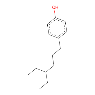 CCC(CC)CCCc1ccc(O)cc1